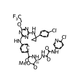 COC(=O)[C@H](CNC(=O)C(=O)Nc1ccc(Cl)nc1)NC(=O)c1ccc(Nc2nc(NC3(c4ccc(Cl)cc4)CC3)nc(OCC(F)(F)F)n2)cc1